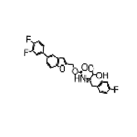 O=C(N[C@H](Cc1ccc(F)cc1)C(=O)O)OCc1cc2cc(-c3ccc(F)c(F)c3)ccc2o1